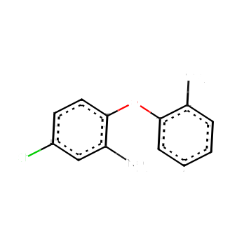 O=C(O)c1ccccc1Oc1ccc(Cl)cc1[N+](=O)[O-]